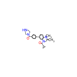 [CH2]N1c2ccc(-c3ccc(C(=O)N4CCNCC4)cc3)cc2N(C(=O)C2CC2)C[C@@H]1C